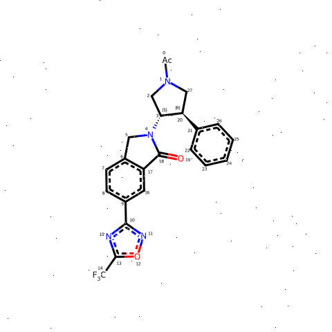 CC(=O)N1C[C@@H](N2Cc3ccc(-c4noc(C(F)(F)F)n4)cc3C2=O)[C@H](c2ccccc2)C1